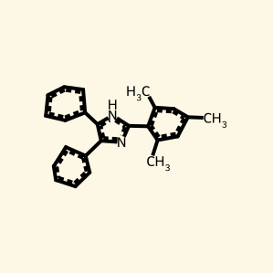 Cc1cc(C)c(-c2nc(-c3ccccc3)c(-c3ccccc3)[nH]2)c(C)c1